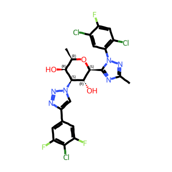 Cc1nc([C@@H]2O[C@H](C)[C@H](O)[C@H](n3cc(-c4cc(F)c(Cl)c(F)c4)nn3)[C@H]2O)n(-c2cc(Cl)c(F)cc2Cl)n1